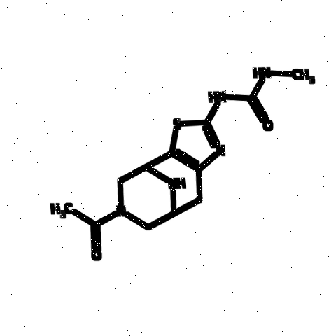 CNC(=O)Nc1nc2c(s1)C1CN(C(C)=O)CC(C2)N1